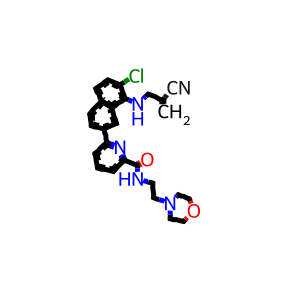 C=C(C#N)CNc1c(Cl)ccc2ccc(-c3cccc(C(=O)NCCN4CCOCC4)n3)cc12